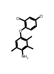 Cc1cc(Oc2ccc(Cl)cc2Cl)c(C)c(C)c1N